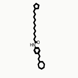 O=C(CCCCCCCCCCCC1CCCC1)Nc1ccc(CCC2CCCCCC2)cc1